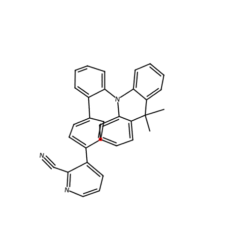 CC1(C)c2ccccc2N(c2ccccc2-c2ccc(-c3cccnc3C#N)cc2)c2ccccc21